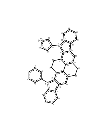 c1cncc(-n2c3ccccc3c3cc4c5c(c32)CCc2c-5c(cc3c5ccccc5n(-c5cc[nH]c5)c23)CC4)c1